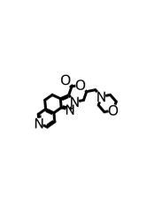 O=C1OC(CN2CCOCC2)Cn2nc3c(c21)CCc1cnccc1-3